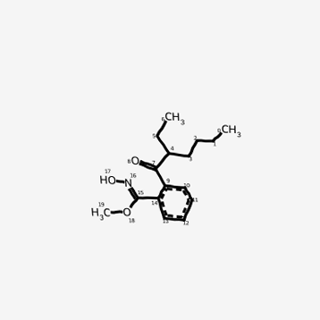 CCCCC(CC)C(=O)c1ccccc1C(=NO)OC